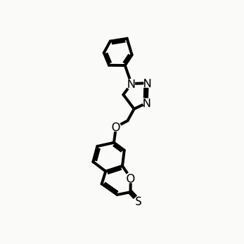 S=c1ccc2ccc(OCC3CN(c4ccccc4)N=N3)cc2o1